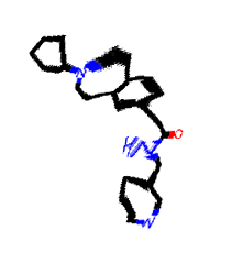 O=C(NCc1cccnc1)c1ccc2c(c1)CCN(C1CCCC1)CC2